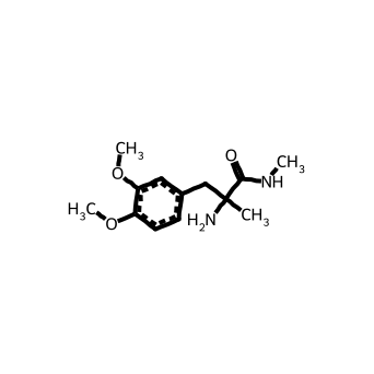 CNC(=O)C(C)(N)Cc1ccc(OC)c(OC)c1